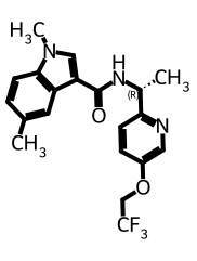 Cc1ccc2c(c1)c(C(=O)N[C@H](C)c1ccc(OCC(F)(F)F)cn1)cn2C